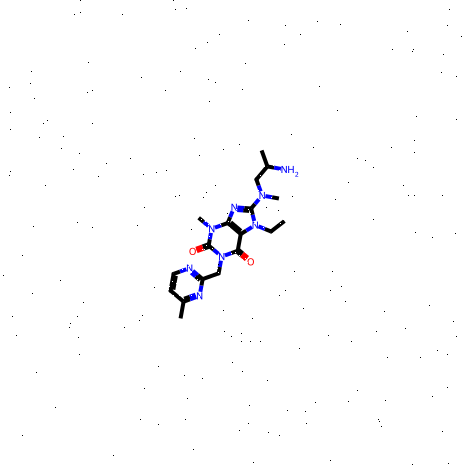 CCn1c(N(C)CC(C)N)nc2c1c(=O)n(Cc1nccc(C)n1)c(=O)n2C